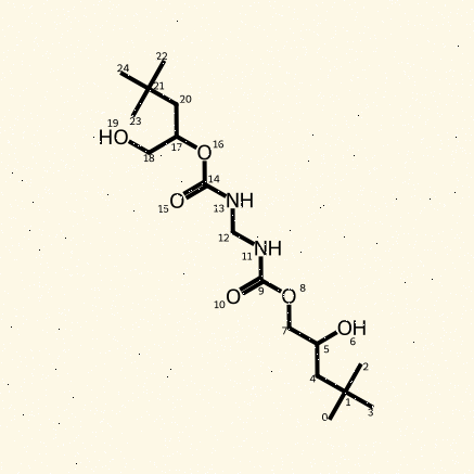 CC(C)(C)CC(O)COC(=O)NCNC(=O)OC(CO)CC(C)(C)C